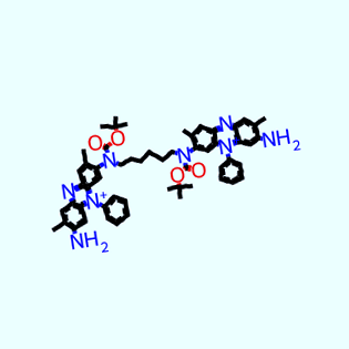 Cc1cc2nc3cc(C)c(N(CCCCCCN(C(=O)OC(C)(C)C)c4cc5c(cc4C)nc4cc(C)c(N)cc4[n+]5-c4ccccc4)C(=O)OC(C)(C)C)cc3[n+](-c3ccccc3)c2cc1N